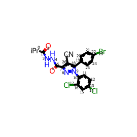 CC(C)C(=O)NNC(=O)c1nn(-c2ccc(Cl)cc2Cl)c(-c2ccc(Br)cc2)c1C#N